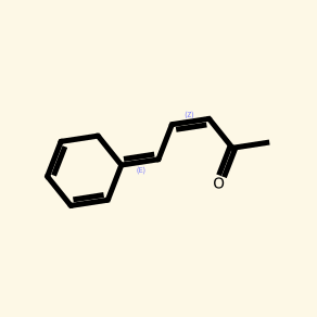 CC(=O)/C=C\C=C1\C=CC=CC1